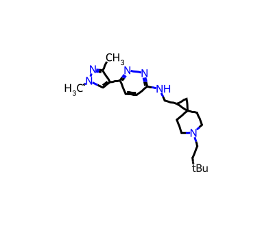 Cc1nn(C)cc1-c1ccc(NCC2CC23CCN(CCC(C)(C)C)CC3)nn1